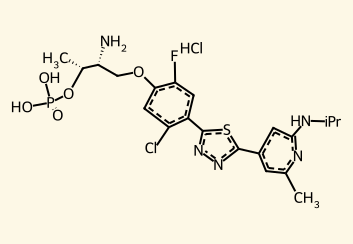 Cc1cc(-c2nnc(-c3cc(F)c(OC[C@@H](N)[C@@H](C)OP(=O)(O)O)cc3Cl)s2)cc(NC(C)C)n1.Cl